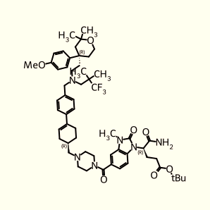 COc1ccc([C@]2(CCN(Cc3ccc(C4=CC[C@H](CN5CCN(C(=O)c6ccc7c(c6)n(C)c(=O)n7[C@H](CCC(=O)OC(C)(C)C)C(N)=O)CC5)CC4)cc3)CC(C)(C)C(F)(F)F)CCOC(C)(C)C2)cc1